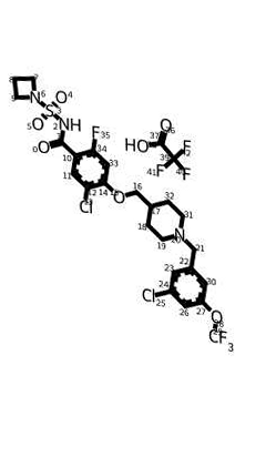 O=C(NS(=O)(=O)N1CCC1)c1cc(Cl)c(OCC2CCN(Cc3cc(Cl)cc(OC(F)(F)F)c3)CC2)cc1F.O=C(O)C(F)(F)F